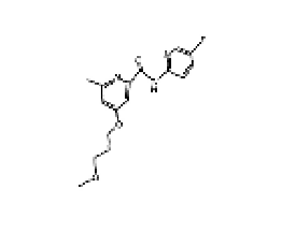 COCCCOc1cc(C)nc(C(=O)Nc2ccc(F)cn2)c1